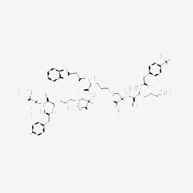 CC(C)(NC(=O)[C@H](CCCNCC(C)(NC(=O)[C@H](CCCNCC(C)(NC(=O)[C@H](CCCN)NC(=O)Cc1ccc(C(F)(F)F)cc1)C(N)=O)NC(=O)Cc1nc2ccccc2s1)C(N)=O)NC(=O)Cc1ccc(F)cc1)C(N)=O